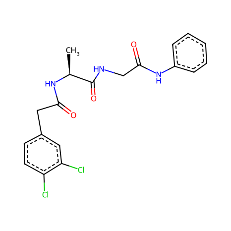 C[C@H](NC(=O)Cc1ccc(Cl)c(Cl)c1)C(=O)NCC(=O)Nc1ccccc1